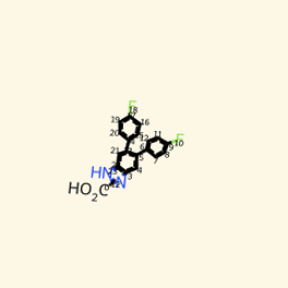 O=C(O)c1nc2cc(-c3ccc(F)cc3)c(-c3ccc(F)cc3)cc2[nH]1